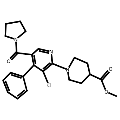 COC(=O)C1CCN(c2ncc(C(=O)N3CCCC3)c(-c3ccccc3)c2Cl)CC1